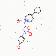 COc1ccc(N2CC(C[n+]3ccc(-c4ccccc4)cc3)OC2=O)cc1.[Br-]